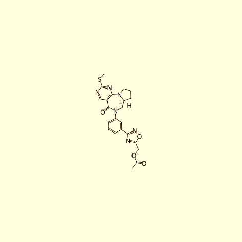 CSc1ncc2c(n1)N1CCC[C@H]1CN(c1cccc(-c3noc(COC(C)=O)n3)c1)C2=O